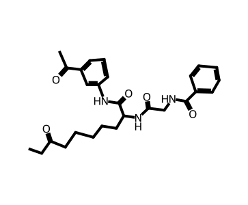 CCC(=O)CCCCCC(NC(=O)CNC(=O)c1ccccc1)C(=O)Nc1cccc(C(C)=O)c1